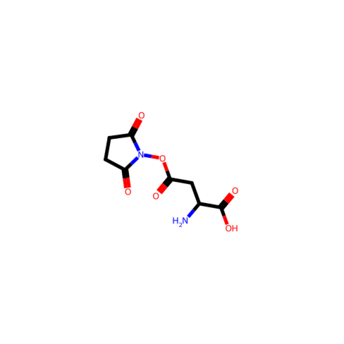 NC(CC(=O)ON1C(=O)CCC1=O)C(=O)O